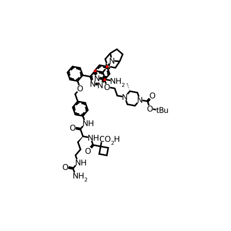 C[C@@H]1CN(C(=O)OC(C)(C)C)CCN1CCOc1cc(N2C3CCC2CN(c2cc(-c4ccccc4OCc4ccc(NC(=O)[C@H](CCCNC(N)=O)NC(=O)C5(C(=O)O)CCC5)cc4)nnc2N)C3)ccn1